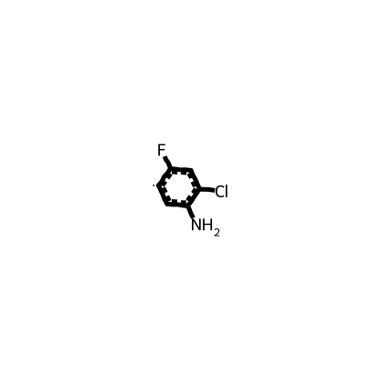 Nc1c[c]c(F)cc1Cl